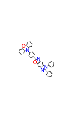 c1ccc(-c2nc3cc4oc(-c5ccc(N6c7ccccc7Oc7ccccc76)cc5)nc4cc3n2-c2ccccc2)cc1